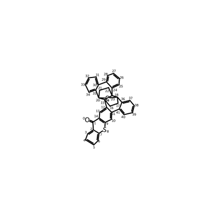 O=c1c2ccccc2sc2cc3c(cc12)C12CCC4(CC15CCC42c1ccccc1-c1ccccc15)c1ccccc1-3